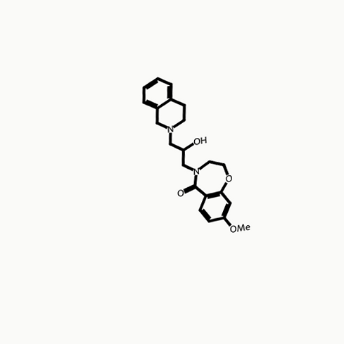 COc1ccc2c(c1)OCCN(CC(O)CN1CCc3ccccc3C1)C2=O